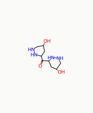 O=C(C1CC(O)CNN1)C1CC(O)CNN1